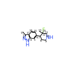 Cc1n[nH]c2cc(C3CCNCC3(C)F)ccc12